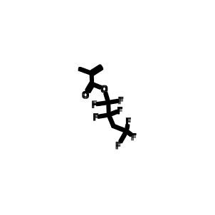 C=C(C)C(=O)OC(F)(F)C(F)(F)CC(F)(F)F